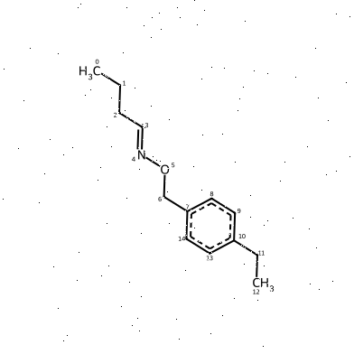 CCC/[C]=N/OCc1ccc(CC)cc1